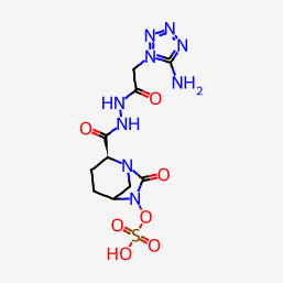 Nc1nnnn1CC(=O)NNC(=O)[C@@H]1CCC2CN1C(=O)N2OS(=O)(=O)O